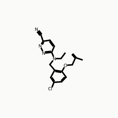 C=C(C)COc1ccc(Cl)cc1CN(CC)c1ccc(C#N)nn1